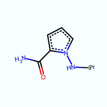 CC(C)Nn1cccc1C(N)=O